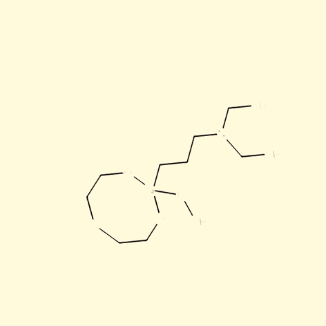 CCN(CC)CCC[Si]1(OC)OCCSCCO1